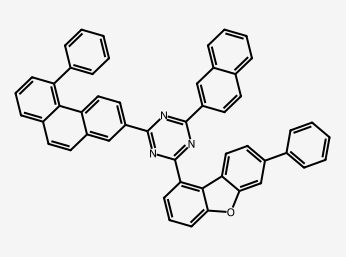 c1ccc(-c2ccc3c(c2)oc2cccc(-c4nc(-c5ccc6ccccc6c5)nc(-c5ccc6c(ccc7cccc(-c8ccccc8)c76)c5)n4)c23)cc1